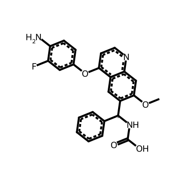 COc1cc2nccc(Oc3ccc(N)c(F)c3)c2cc1[C](NC(=O)O)c1ccccc1